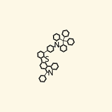 c1ccc(-c2nc3ccccc3c3c2ccc2c4cccc(-c5ccc(N6c7ccccc7C(c7ccccc7)(c7ccccc7)c7ccccc76)cc5)c4sc23)cc1